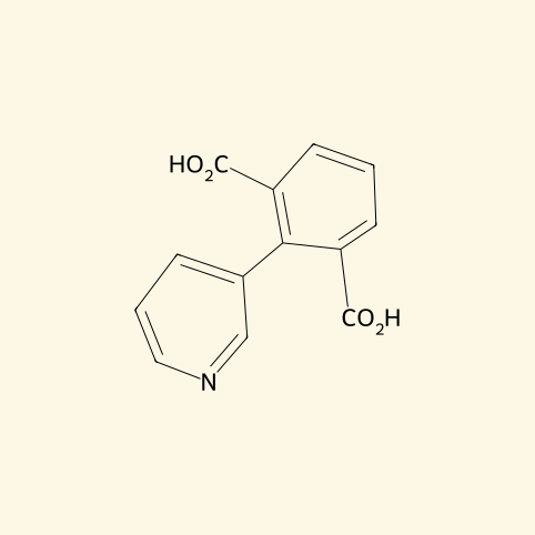 O=C(O)c1cccc(C(=O)O)c1-c1cccnc1